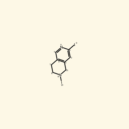 Ic1cc2c(cn1)CCN(I)C2